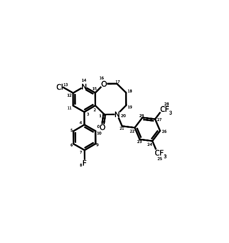 O=C1c2c(-c3ccc(F)cc3)cc(Cl)nc2OCCCN1Cc1cc(C(F)(F)F)cc(C(F)(F)F)c1